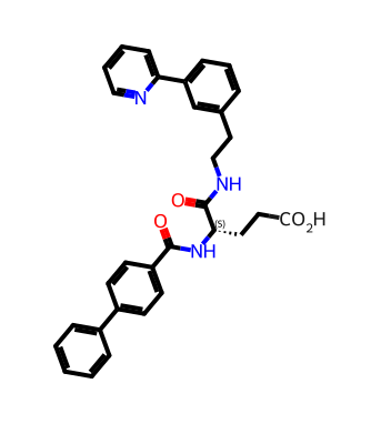 O=C(O)CC[C@H](NC(=O)c1ccc(-c2ccccc2)cc1)C(=O)NCCc1cccc(-c2ccccn2)c1